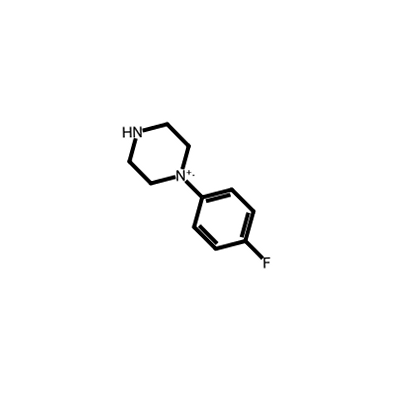 Fc1ccc([N+]2CCNCC2)cc1